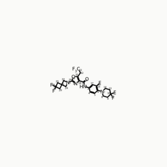 O=C(Nc1ccc(N2CCC(F)(F)CC2)c(F)c1)c1nc(N2CC3(C2)CC(F)(F)C3)oc1CC(F)(F)F